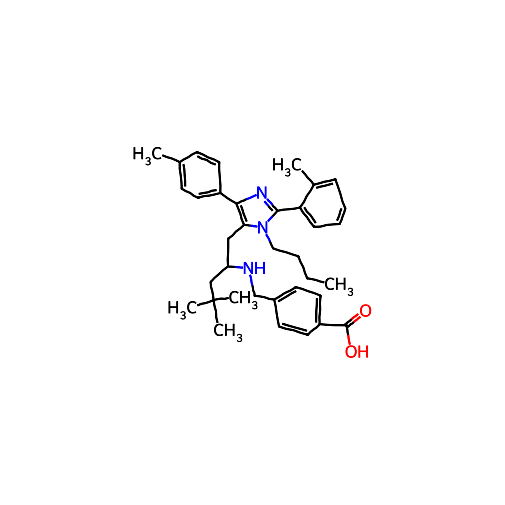 CCCCn1c(-c2ccccc2C)nc(-c2ccc(C)cc2)c1CC(CC(C)(C)C)NCc1ccc(C(=O)O)cc1